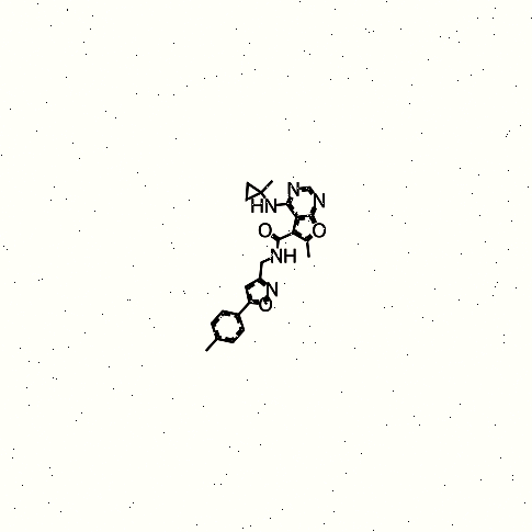 Cc1ccc(-c2cc(CNC(=O)c3c(C)oc4ncnc(NC5(C)CC5)c34)no2)cc1